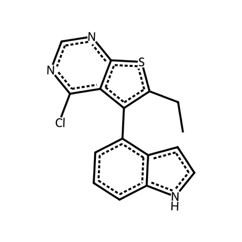 CCc1sc2ncnc(Cl)c2c1-c1cccc2[nH]ccc12